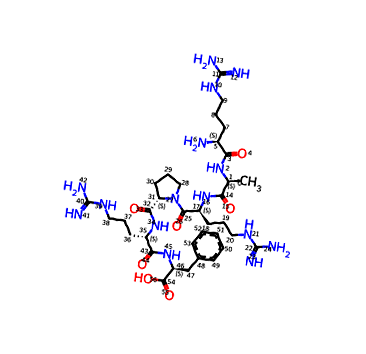 C[C@H](NC(=O)[C@@H](N)CCCNC(=N)N)C(=O)N[C@@H](CCCNC(=N)N)C(=O)N1CCC[C@H]1C(=O)N[C@@H](CCCNC(=N)N)C(=O)N[C@@H](Cc1ccccc1)C(=O)O